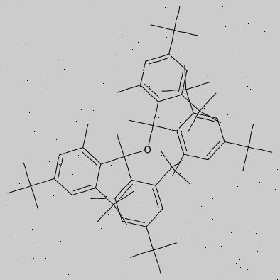 Cc1cc(C(C)(C)C)cc(C(C)(C)C)c1C(C)(OC(C)(c1c(C)cc(C(C)(C)C)cc1C(C)(C)C)c1c(C)cc(C(C)(C)C)cc1C(C)(C)C)c1c(C)cc(C(C)(C)C)cc1C(C)(C)C